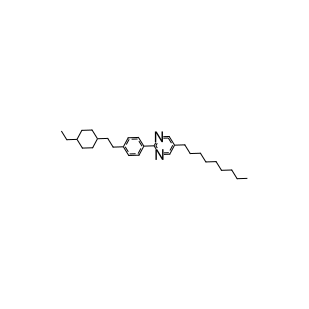 CCCCCCCCCc1cnc(-c2ccc(CCC3CCC(CC)CC3)cc2)nc1